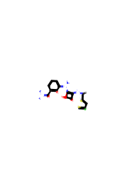 CCC(Nc1c(N(N)c2cccc(C(=O)N(C)C)c2O)c(=O)c1=O)c1cc(Cl)cs1